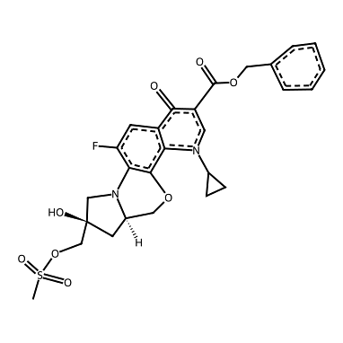 CS(=O)(=O)OC[C@@]1(O)C[C@@H]2COc3c(c(F)cc4c(=O)c(C(=O)OCc5ccccc5)cn(C5CC5)c34)N2C1